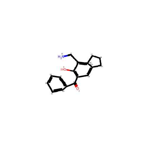 NCc1c(O)c(C(=O)c2ccccc2)cc2c1CCC2